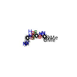 COc1cc2ncnc(Oc3cc(F)c(C(=O)C(=O)Nc4cccc(Cn5ccnc5)c4)c(F)c3)c2cc1OC